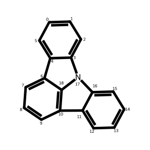 c1ccc2c(c1)c1cccc3c4ccccc4n2c13